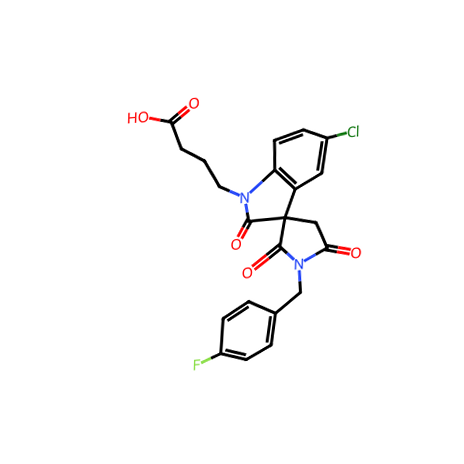 O=C(O)CCCN1C(=O)C2(CC(=O)N(Cc3ccc(F)cc3)C2=O)c2cc(Cl)ccc21